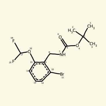 CC(C)(C)OC(=O)NCc1c(Br)cccc1OC(F)F